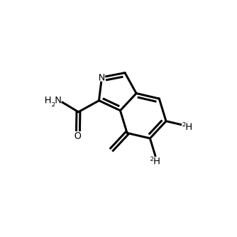 [2H]c1cc2c(c(=C)c1[2H])=C(C(N)=O)N=C2